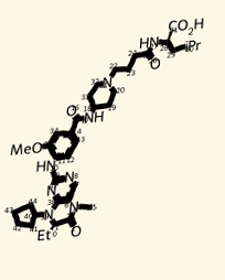 CC[C@@H]1C(=O)N(C)c2cnc(Nc3ccc(C(=O)NC4CCN(CCCC(=O)N[C@H](CC(C)C)C(=O)O)CC4)cc3OC)nc2N1C1CCCC1